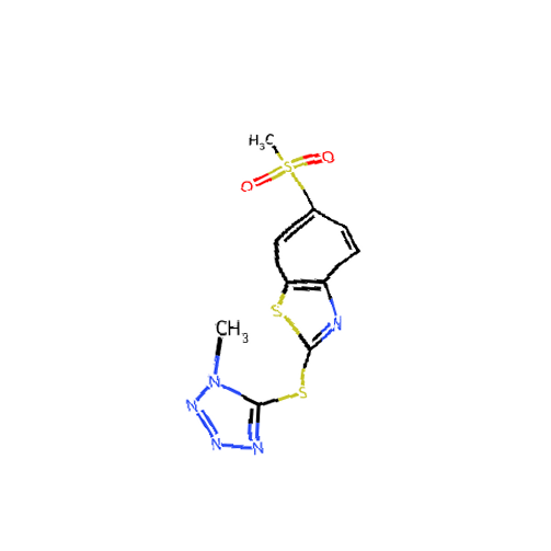 Cn1nnnc1Sc1nc2ccc(S(C)(=O)=O)cc2s1